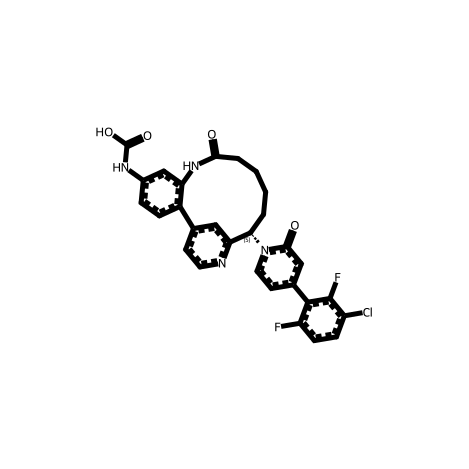 O=C(O)Nc1ccc2c(c1)NC(=O)CCCC[C@H](n1ccc(-c3c(F)ccc(Cl)c3F)cc1=O)c1cc-2ccn1